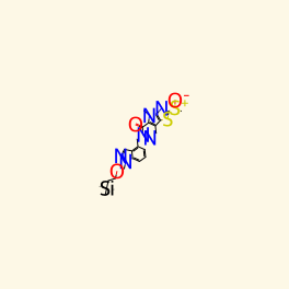 Cn1c2nc([S+](C)[O-])sc2c2cnn(Cc3cccc4c3cnn4COCC[Si](C)(C)C)c(=O)c21